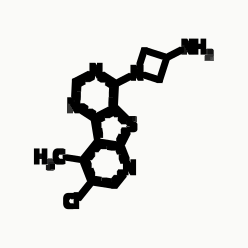 Cc1c(Cl)cnc2sc3c(N4CC(N)C4)ncnc3c12